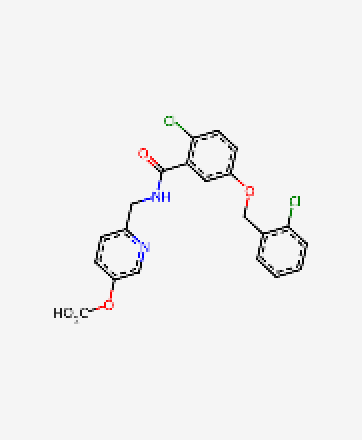 O=C(O)Oc1ccc(CNC(=O)c2cc(OCc3ccccc3Cl)ccc2Cl)nc1